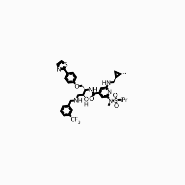 CC(C)S(=O)(=O)N(C)c1cc(C(=O)N[C@@H](COc2ccc(-c3nccs3)cc2)[C@H](O)CNCc2cccc(C(F)(F)F)c2)cc(NC[C@H]2C[C@@H]2C)n1